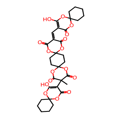 CC1(C2=C(O)OC3(CCCCC3)OC2=O)C(=O)OC2(CCC3(CC2)OC(=O)C(=CC2=C(O)OC4(CCCCC4)OC2=O)C(=O)O3)OC1=O